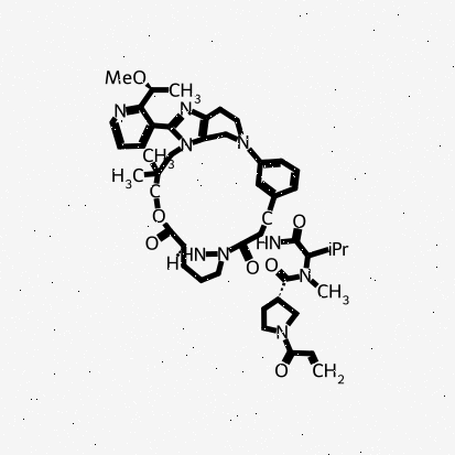 C=CC(=O)N1CC[C@H](C(=O)N(C)C(C(=O)N[C@H]2Cc3cccc(c3)N3CCc4nc(-c5cccnc5[C@H](C)OC)n(c4C3)CC(C)(C)COC(=O)[C@@H]3CCCN(N3)C2=O)C(C)C)C1